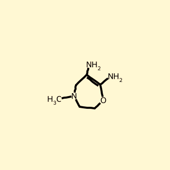 CN1CCOC(N)=C(N)C1